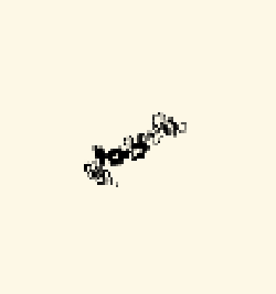 CS(=O)(=O)NCC1(c2ccc(N3CCC[C@@H](NC(=O)Nc4cnc(Cl)cn4)C3=O)cc2)CCC1